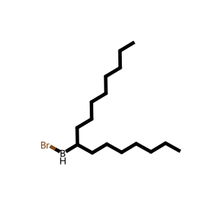 CCCCCCCCC(BBr)CCCCCCC